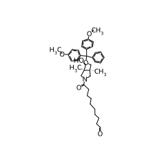 COc1ccc(C(OC[C@@]2(C)CN(C(=O)CCCCCCCCC=O)C[C@@]2(C)CO)(c2ccccc2)c2ccc(OC)cc2)cc1